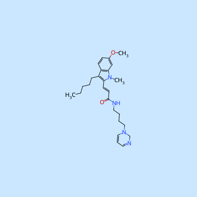 CCCCCc1c(C=CC(=O)NCCCCN2C=CC=NC2)n(C)c2cc(OC)ccc12